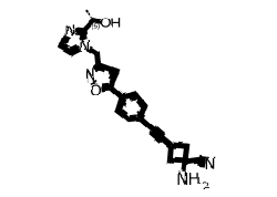 C[C@H](O)c1nccn1Cc1cc(-c2ccc(C#CC3CC(N)(C#N)C3)cc2)on1